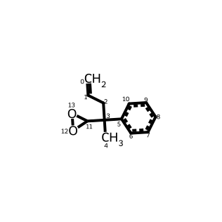 C=CCC(C)(c1ccccc1)C1OO1